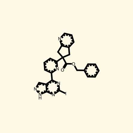 O=C(OCc1ccccc1)C1(c2cccc(-c3nc(I)nc4[nH]ncc34)n2)Cc2cccnc2C1